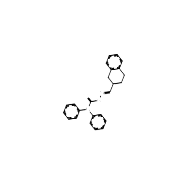 O=C(NN=CC1CCc2ccccc2C1)N(c1ccccc1)c1ccccc1